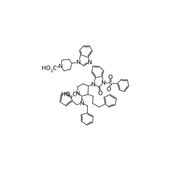 O=C(O)N1CCC(n2c(=O)n(S(=O)(=O)c3ccccc3)c3ccccc32)C(CCCc2ccccc2)[C@H]1N(Cc1ccccc1)Cc1ccccc1.O=C(O)N1CCC(n2cnc3ccccc32)CC1